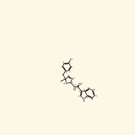 CC1(Cc2ccc(F)cc2)C=NC(NC(=O)c2coc3ccccc23)S1